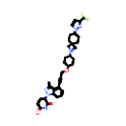 Cc1nn(C2CCC(=O)NC2=O)c2cccc(C#CCOC3CCC(N4CC5(CCC(n6ccc(C(F)F)n6)CC5)C4)CC3)c12